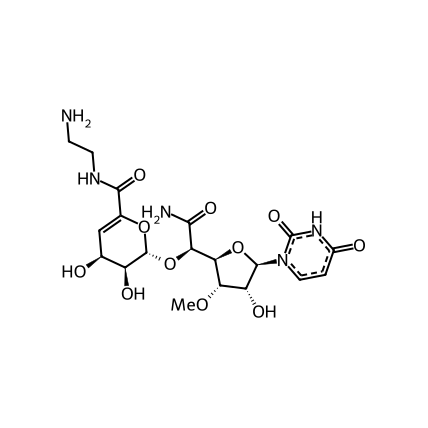 CO[C@H]1[C@@H](O)[C@H](n2ccc(=O)[nH]c2=O)O[C@@H]1[C@@H](O[C@H]1OC(C(=O)NCCN)=C[C@H](O)[C@@H]1O)C(N)=O